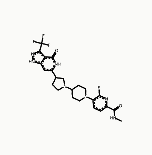 CNC(=O)c1ccc(N2CCC(N3CCC(c4cc5[nH]nc(C(F)(F)F)c5c(=O)[nH]4)C3)CC2)c(F)n1